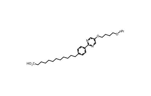 CCCOCCCCOc1cnc(-c2ccc(CCCCCCCCCCCC(=O)O)cc2)nc1